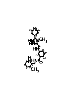 CC1CCCNC1CNC(=O)c1cccc(NCC2NNC(C3CC=NCC3)N2C)c1